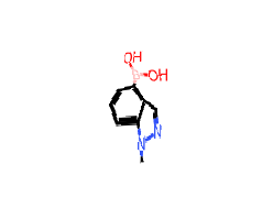 Cn1ncc2c(B(O)O)cccc21